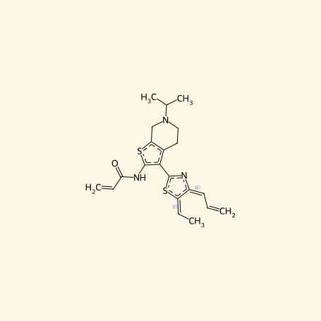 C=C/C=c1/nc(-c2c(NC(=O)C=C)sc3c2CCN(C(C)C)C3)s/c1=C/C